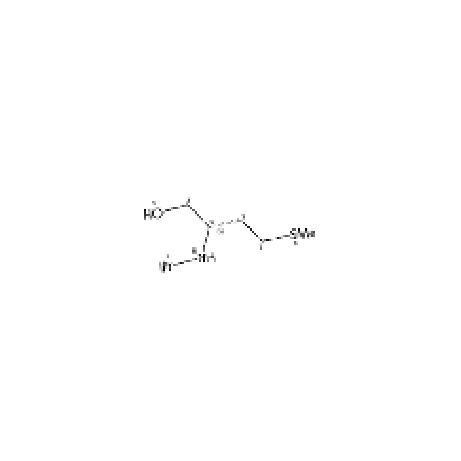 CSCC[C@@H](CO)NC(C)C